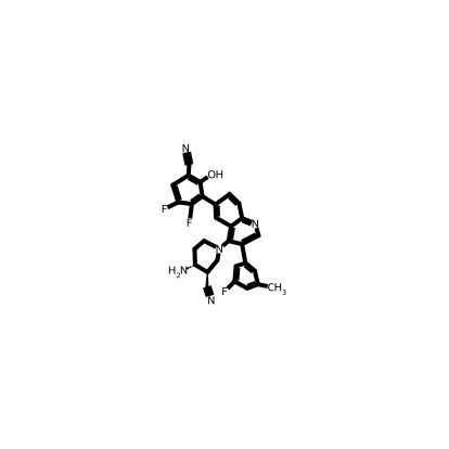 Cc1cc(F)cc(-c2cnc3ccc(-c4c(O)c(C#N)cc(F)c4F)cc3c2N2CC[C@@H](N)[C@H](C#N)C2)c1